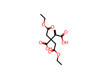 C=C(C(=O)O)C(CC(=O)OCC)(CC(=O)OCC)C(=O)O